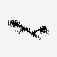 CC1(C)CC(CCCCNc2nc(N)nc(NCCCCCCNc3nc(N)nc(NCCCCC4CC(C)(C)N(OC5CCCCC5)C(C)(C)C4)n3)n2)CC(C)(C)N1OC1CCCCC1